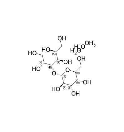 O.O.O.OC[C@@H](O)[C@@H](O[C@@H]1O[C@H](CO)[C@H](O)[C@H](O)[C@H]1O)[C@H](O)[C@@H](O)CO